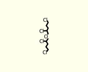 ClCCCC(Cl)COCC(Cl)CCCCl